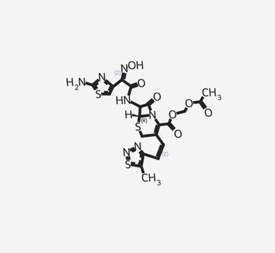 CC(=O)OCOC(=O)C1=C(/C=C\c2nnsc2C)CS[C@@H]2C(NC(=O)/C(=N\O)c3csc(N)n3)C(=O)N12